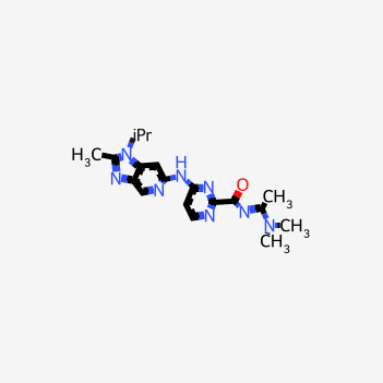 C/C(=N\C(=O)c1nccc(Nc2cc3c(cn2)nc(C)n3C(C)C)n1)N(C)C